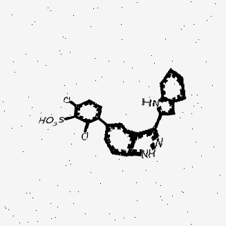 O=S(=O)(O)c1c(Cl)ccc(-c2ccc3[nH]nc(-c4cc5ccccc5[nH]4)c3c2)c1Cl